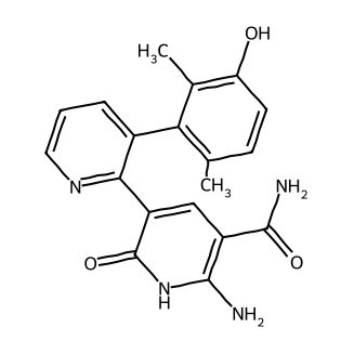 Cc1ccc(O)c(C)c1-c1cccnc1-c1cc(C(N)=O)c(N)[nH]c1=O